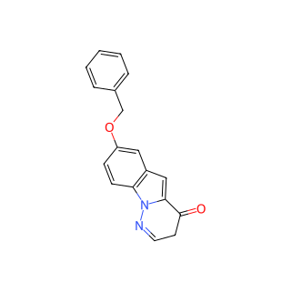 O=C1CC=Nn2c1cc1cc(OCc3ccccc3)ccc12